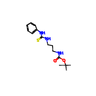 CC(C)(C)OC(=O)NCCCNC(=S)Nc1ccccc1